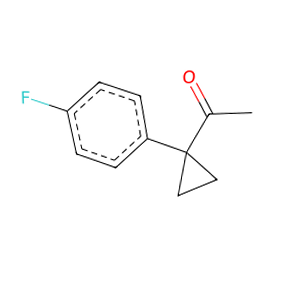 CC(=O)C1(c2ccc(F)cc2)CC1